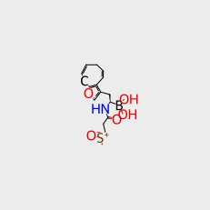 C[S+]([O-])CCC(=O)N[C@@H](Cc1coc2c1/C=C\CC=CC2)B(O)O